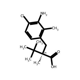 Cc1c(C[C@@](C)(C(=O)O)C(C)(C)C)ccc(Cl)c1N